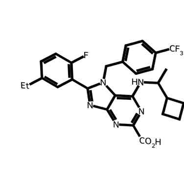 CCc1ccc(F)c(-c2nc3nc(C(=O)O)nc(NC(C)C4CCC4)c3n2Cc2ccc(C(F)(F)F)cc2)c1